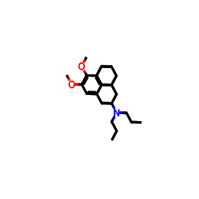 CCCN(CCC)C1Cc2cc(OC)c(OC)c3c2C(CCC3)C1